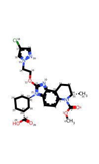 COC(=O)N1c2ccc3c(nc(OCCn4cc(Cl)cn4)n3[C@@H]3CCC[C@@H](C(=O)O)C3)c2CC[C@@H]1C